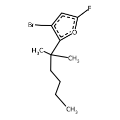 CCCCC(C)(C)c1oc(F)cc1Br